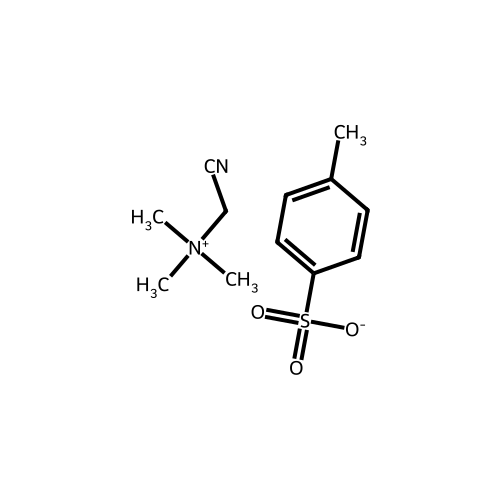 C[N+](C)(C)CC#N.Cc1ccc(S(=O)(=O)[O-])cc1